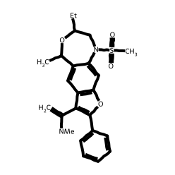 C=C(NC)c1c(-c2ccccc2)oc2cc3c(cc12)C(C)OC(CC)CN3S(C)(=O)=O